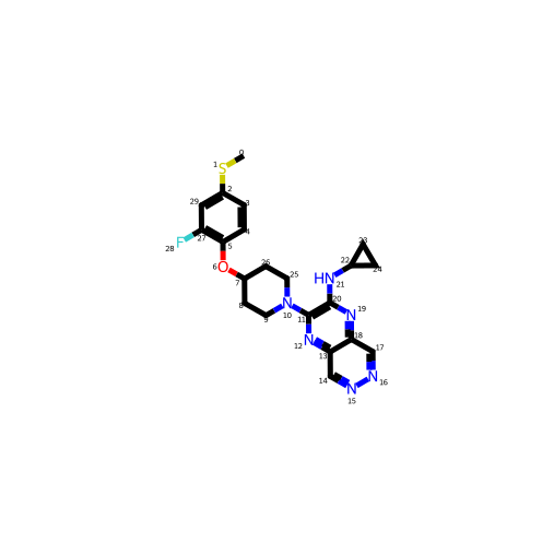 CSc1ccc(OC2CCN(c3nc4cnncc4nc3NC3CC3)CC2)c(F)c1